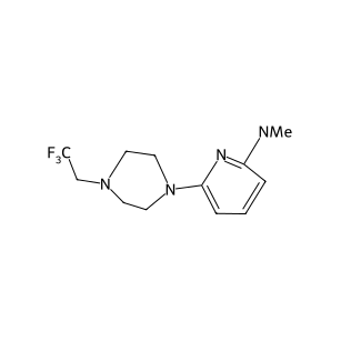 CNc1cccc(N2CCN(CC(F)(F)F)CC2)n1